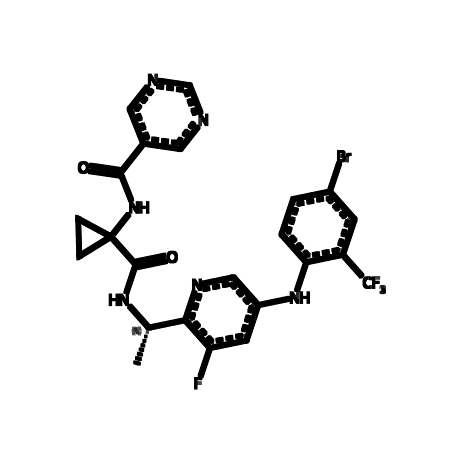 C[C@H](NC(=O)C1(NC(=O)c2cncnc2)CC1)c1ncc(Nc2ccc(Br)cc2C(F)(F)F)cc1F